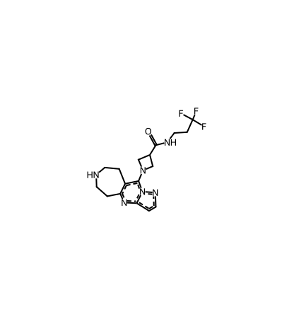 O=C(NCCC(F)(F)F)C1CN(c2c3c(nc4ccnn24)CCNCC3)C1